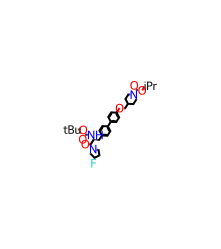 CC(C)OC(=O)N1CCC(COc2ccc(-c3ccc(C[C@H](NC(=O)OC(C)(C)C)C(=O)N4CC[C@H](F)C4)cc3)cc2)CC1